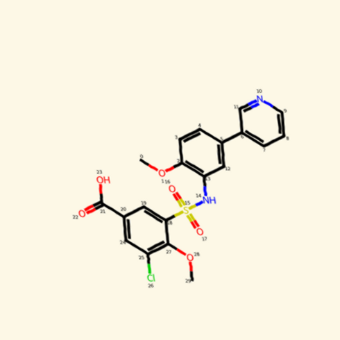 COc1ccc(-c2cccnc2)cc1NS(=O)(=O)c1cc(C(=O)O)cc(Cl)c1OC